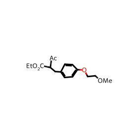 CCOC(=O)C(Cc1ccc(OCCOC)cc1)C(C)=O